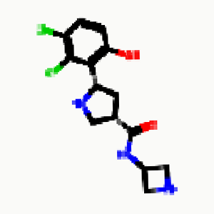 O=C(NC1CNC1)[C@@H]1CN[C@H](c2c(O)ccc(Cl)c2Cl)C1